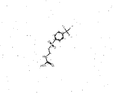 O=C(O)NCCS(=O)(=O)c1ccc(C(F)(F)F)cc1